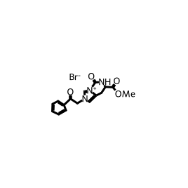 COC(=O)C1Cc2cn(CC(=O)c3ccccc3)c[n+]2C(=O)N1.[Br-]